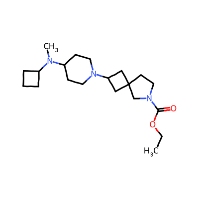 CCOC(=O)N1CCC2(CC(N3CCC(N(C)C4CCC4)CC3)C2)C1